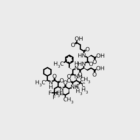 Cc1ccccc1C[C@H](NC(=O)[C@H](CCC(=O)O)NC(=O)[C@H](CC(=O)O)NC(=O)CCC(=O)O)C(=O)N[C@H](C(=O)N[C@@H](CC(C)C)C(=O)NC(CC(F)(F)F)C(=O)C(=O)N[C@@H](C)C1CCCCC1)C(C)(C)C